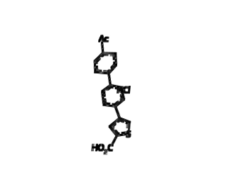 CC(=O)c1ccc(-c2ccc(-c3csc(C(=O)O)c3)cc2)cc1.Cl